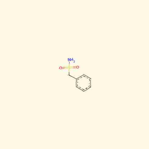 NS(=O)(=O)[CH]c1ccccc1